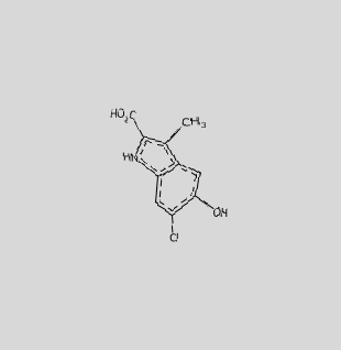 Cc1c(C(=O)O)[nH]c2cc(Cl)c(O)cc12